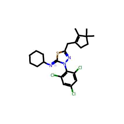 CC1=C(Cc2nn(-c3c(Cl)cc(Cl)cc3Cl)/c(=N/C3CCCCC3)s2)CCC1(C)C